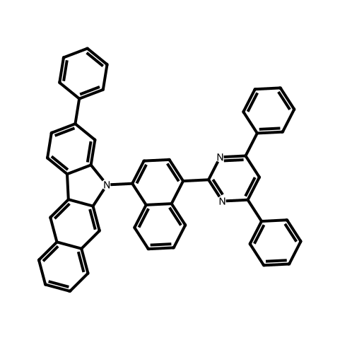 c1ccc(-c2ccc3c4cc5ccccc5cc4n(-c4ccc(-c5nc(-c6ccccc6)cc(-c6ccccc6)n5)c5ccccc45)c3c2)cc1